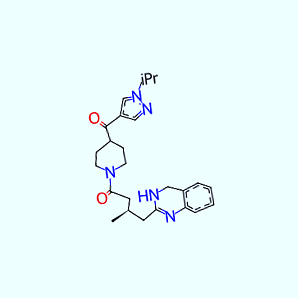 CC(C)n1cc(C(=O)C2CCN(C(=O)C[C@H](C)CC3=Nc4ccccc4CN3)CC2)cn1